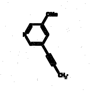 [CH2]C#Cc1cncc(OC)c1